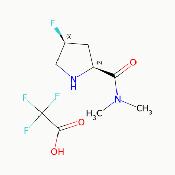 CN(C)C(=O)[C@@H]1C[C@H](F)CN1.O=C(O)C(F)(F)F